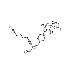 CC(C)(C)C(=O)Oc1ccc(/C=C(\C#CCCCCC#CI)C=O)cc1